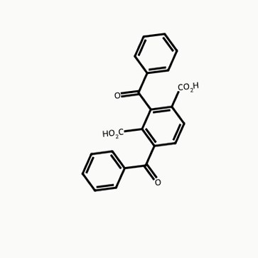 O=C(O)c1ccc(C(=O)c2ccccc2)c(C(=O)O)c1C(=O)c1ccccc1